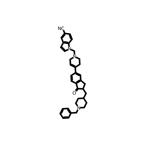 N#Cc1ccc2c(ccn2CN2CC=C(c3ccc4c(c3)CC(CC3CCN(Cc5ccccc5)CC3)C4=O)CC2)c1